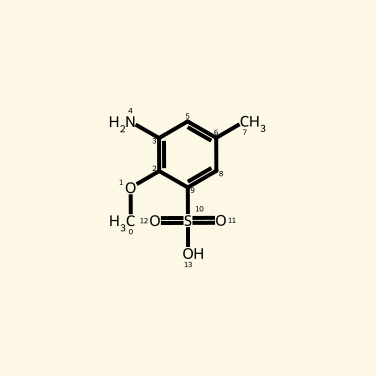 COc1c(N)cc(C)cc1S(=O)(=O)O